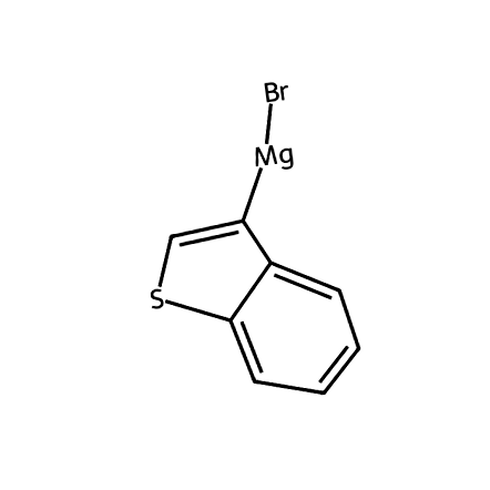 [Br][Mg][c]1csc2ccccc12